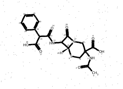 CC(=O)NC1(C(=O)O)CS[C@@H]2C(NC(=O)C(C(=O)O)c3ccccc3)C(=O)N2C1